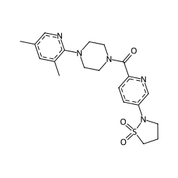 Cc1cnc(N2CCN(C(=O)c3ccc(N4CCCS4(=O)=O)cn3)CC2)c(C)c1